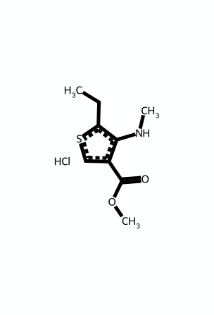 CCc1scc(C(=O)OC)c1NC.Cl